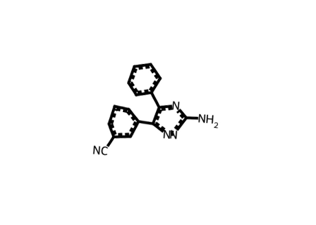 N#Cc1cccc(-c2nnc(N)nc2-c2ccccc2)c1